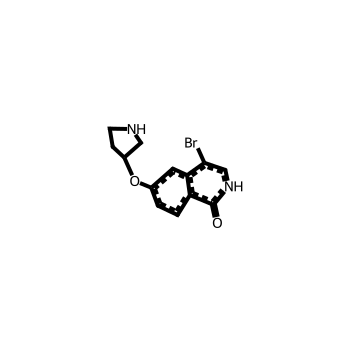 O=c1[nH]cc(Br)c2cc(OC3CCNC3)ccc12